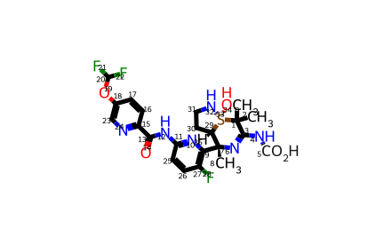 CC1(C)C(NC(=O)O)=N[C@](C)(c2nc(NC(=O)c3ccc(OC(F)F)cn3)ccc2F)[C@@H]2CCN[S@@]21O